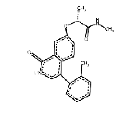 CNC(=O)[C@@H](C)Oc1ccc2c(-c3ccccc3C)c[nH]c(=O)c2c1